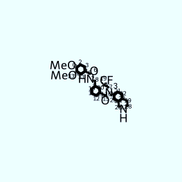 COc1ccc(C(=O)NCc2cccc(C(=O)N(CCC(F)(F)F)c3ccc4c(c3)CNCC4)c2)cc1OC